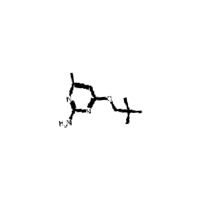 Cc1cc(OCC(C)(C)C)nc(N)n1